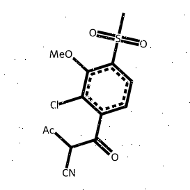 COc1c(S(C)(=O)=O)ccc(C(=O)C(C#N)C(C)=O)c1Cl